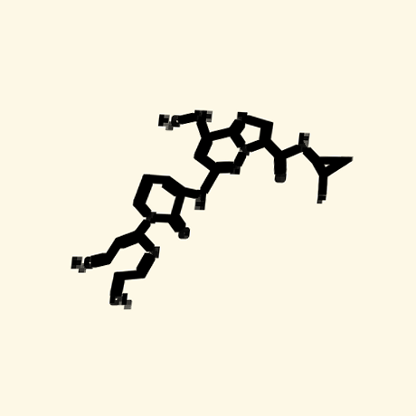 C=C/C=N\C(=C/C=C)n1cccc(Nc2cc(NC)c3ncc(C(=O)NC4CC4F)n3n2)c1=O